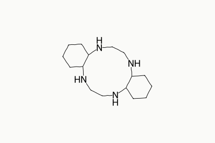 C1CCC2NCCNC3CCCCC3NCCNC2C1